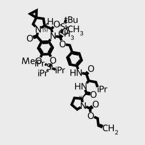 C=CCOC(=O)N1CCC[C@H]1C(=O)NC(CC(C)C)C(=O)Nc1ccc(COC(=O)N2c3cc(O[Si](C(C)C)(C(C)C)C(C)C)c(OC)cc3C(=O)N3CC4(CC4)C[C@H]3C2O[Si](C)(C)C(C)(C)C)cc1